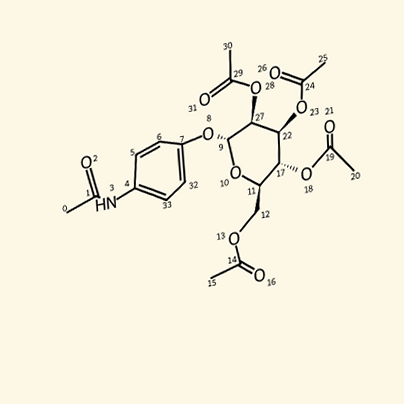 CC(=O)Nc1ccc(O[C@H]2O[C@H](COC(C)=O)[C@@H](OC(C)=O)[C@H](OC(C)=O)[C@@H]2OC(C)=O)cc1